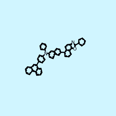 c1ccc(-c2nc3ccc4c(-c5ccc6cc(N(c7ccccc7)c7ccc(-c8cc9ccccc9c9ccccc89)cc7)ccc6c5)cccc4c3o2)cc1